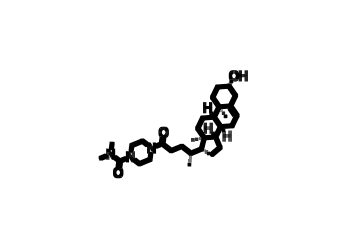 C[C@H](CCC(=O)N1CCN(C(=O)N(C)C)CC1)[C@H]1CC[C@H]2[C@@H]3CC=C4C[C@@H](O)CC[C@]4(C)[C@H]3CC[C@]12C